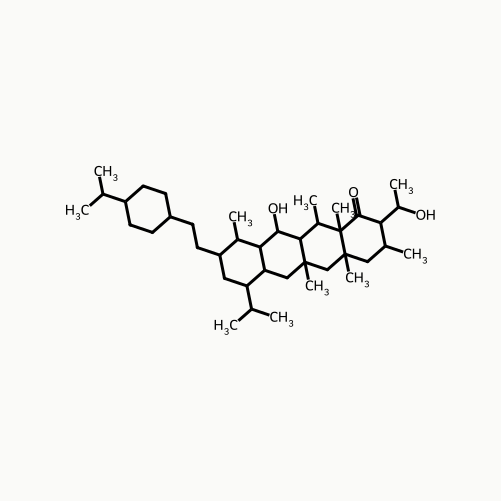 CC(C)C1CCC(CCC2CC(C(C)C)C3CC4(C)CC5(C)CC(C)C(C(C)O)C(=O)C5(C)C(C)C4C(O)C3C2C)CC1